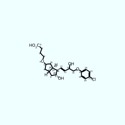 O=C(O)CCCOC1C[C@H]2C[C@@H](O)[C@H](C=CC(O)COc3ccc(Cl)cc3)[C@@H]2C1